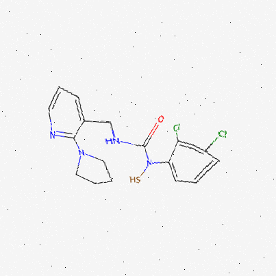 O=C(NCc1cccnc1N1CCCC1)N(S)c1cccc(Cl)c1Cl